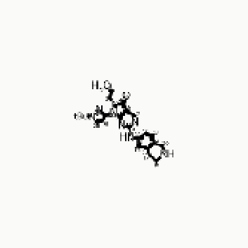 C=CCn1c(=O)c2cnc(Nc3ccc4c(c3)CCNC4)nc2n1-c1ccn(C(C)(C)C)n1